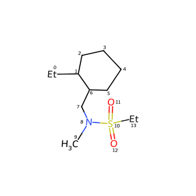 CCC1CCCCC1CN(C)S(=O)(=O)CC